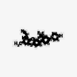 CC(C)CC(Sc1ccc(-c2ccc(N3CCNCC3)cc2C(F)(F)F)cc1)C(=O)NCC#N